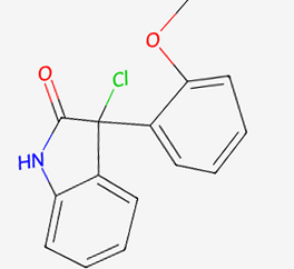 COc1ccccc1C1(Cl)C(=O)Nc2ccccc21